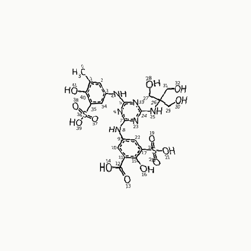 Cc1cc(Nc2nc(Nc3cc(C(=O)O)c(O)c(S(=O)(=O)O)c3)nc(NC(CO)(CO)CO)n2)cc(S(=O)(=O)O)c1O